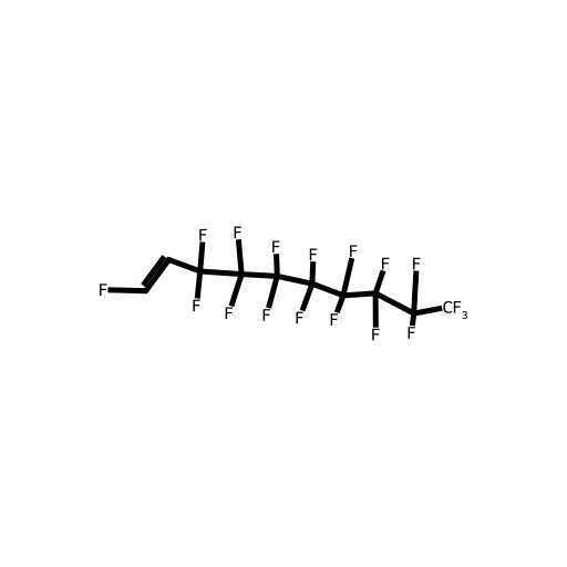 FC=CC(F)(F)C(F)(F)C(F)(F)C(F)(F)C(F)(F)C(F)(F)C(F)(F)C(F)(F)F